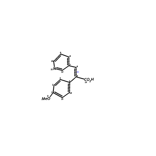 COc1ccc(/C(=C\c2cccnc2)C(=O)O)cc1